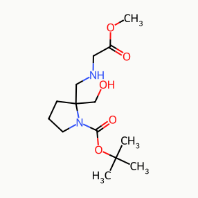 COC(=O)CNCC1(CO)CCCN1C(=O)OC(C)(C)C